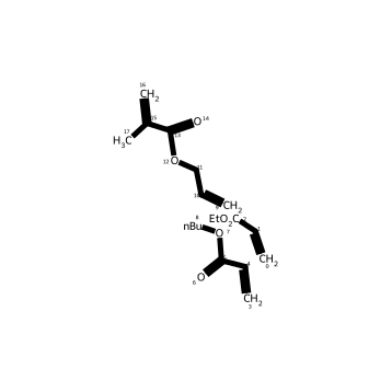 C=CC(=O)OCC.C=CC(=O)OCCCC.C=CCOC(=O)C(=C)C